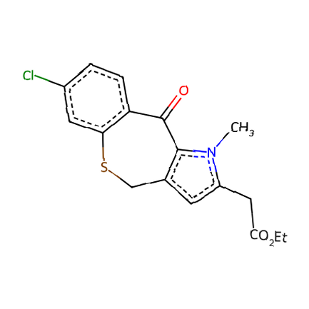 CCOC(=O)Cc1cc2c(n1C)C(=O)c1ccc(Cl)cc1SC2